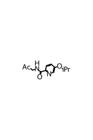 CC(=O)CNC(=O)c1ccc(OC(C)C)cn1